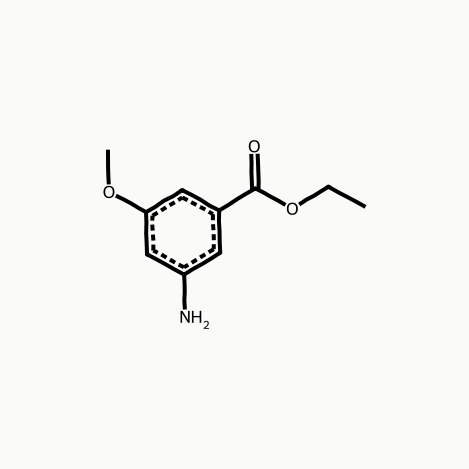 CCOC(=O)c1cc(N)cc(OC)c1